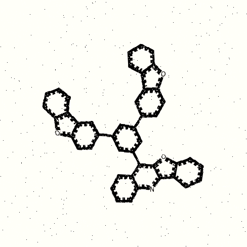 c1ccc2c(-c3cc(-c4ccc5oc6ccccc6c5c4)cc(-c4ccc5oc6ccccc6c5c4)c3)c3oc4ccccc4c3nc2c1